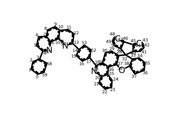 c1ccc(-c2ccc3ccc4ccc(-c5ccc(-c6nc7ccccc7c7c8c(ccc67)C6(c7ccccc7O8)c7ccccc7-c7ccccc76)cc5)nc4c3n2)cc1